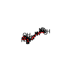 CCc1c(F)ccc2cc(O)cc(-c3ncc4c(N5CC6CCC(C5)N6)nc(OCC5(CN6CCC7(CC6)CC(F)(CN6CCN(c8ccc9c(c8)n(C)c(=O)n9C8CCC(=O)NC8=O)CC6)C7)CC5)nc4c3F)c12